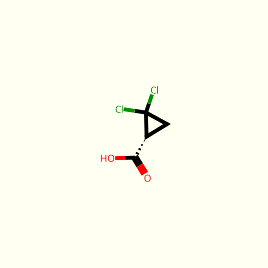 O=C(O)[C@H]1CC1(Cl)Cl